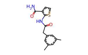 Cc1cc(C)cc(CC(=O)Nc2sccc2C(N)=O)c1